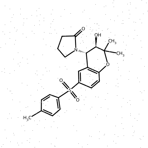 Cc1ccc(S(=O)(=O)c2ccc3c(c2)[C@H](N2CCCC2=O)[C@@H](O)C(C)(C)O3)cc1